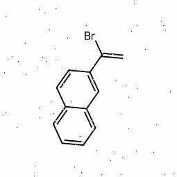 C=C(Br)c1ccc2ccccc2c1